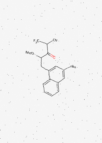 CCCCc1cc(CC(OC)C(=O)C(C#N)C(F)(F)F)c2ccccc2c1